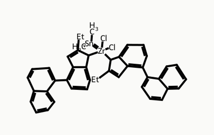 CCC1=Cc2c(-c3cccc4ccccc34)cccc2[CH]1[Zr]([Cl])([Cl])([CH]1C(CC)=Cc2c(-c3cccc4ccccc34)cccc21)=[Sn]([CH3])[CH3]